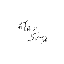 CCOc1nc(C(=O)NCc2c(C)cc(C)[nH]c2=O)c(C)c(-c2ccnn2C)n1